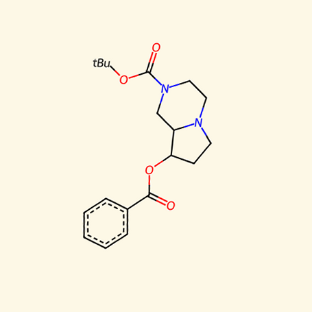 CC(C)(C)OC(=O)N1CCN2CCC(OC(=O)c3ccccc3)C2C1